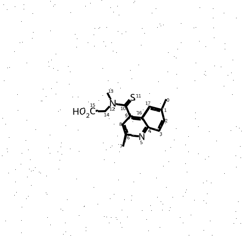 Cc1ccc2nc(C)cc(C(=S)N(C)CC(=O)O)c2c1